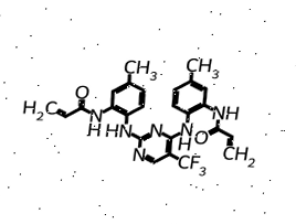 C=CC(=O)Nc1cc(C)ccc1Nc1ncc(C(F)(F)F)c(Nc2ccc(C)cc2NC(=O)C=C)n1